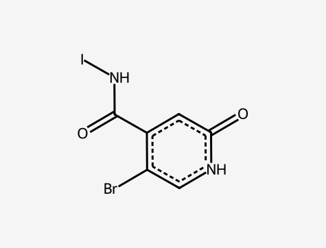 O=C(NI)c1cc(=O)[nH]cc1Br